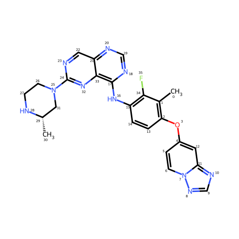 Cc1c(Oc2ccn3ncnc3c2)ccc(Nc2ncnc3cnc(N4CCN[C@@H](C)C4)nc23)c1F